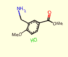 COC(=O)c1ccc(OC)c(CN)c1.Cl